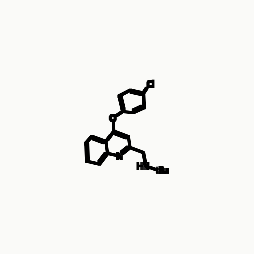 CC(C)(C)NCc1cc(Oc2ccc(Cl)cc2)c2ccccc2n1